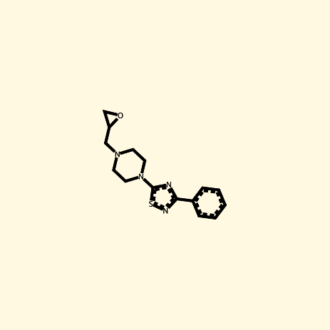 c1ccc(-c2nsc(N3CCN(CC4CO4)CC3)n2)cc1